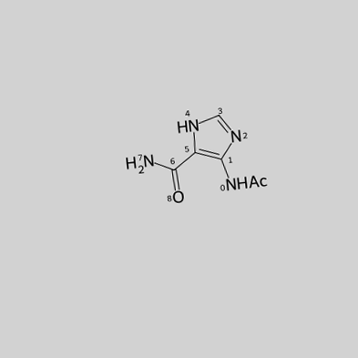 CC(=O)Nc1nc[nH]c1C(N)=O